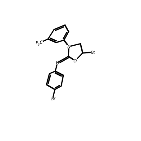 CCC1CN(c2cccc(C(F)(F)F)c2)C(=Nc2ccc(Br)cc2)O1